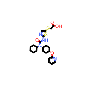 O=C(O)CSc1cnc(NC(=O)N(C2CCCCC2)[C@H]2CC[C@H](Oc3ccccn3)CC2)s1